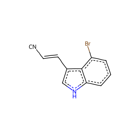 [C-]#[N+]C=Cc1c[nH]c2cccc(Br)c12